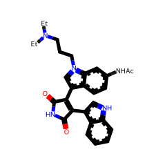 CCN(CC)CCCn1cc(C2=C(c3c[nH]c4ccccc34)C(=O)NC2=O)c2ccc(NC(C)=O)cc21